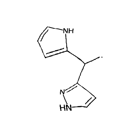 [CH2]C(c1cc[nH]n1)c1ccc[nH]1